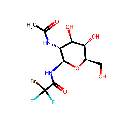 CC(=O)N[C@@H]1[C@@H](O)[C@H](O)[C@@H](CO)O[C@H]1NC(=O)C(F)(F)Br